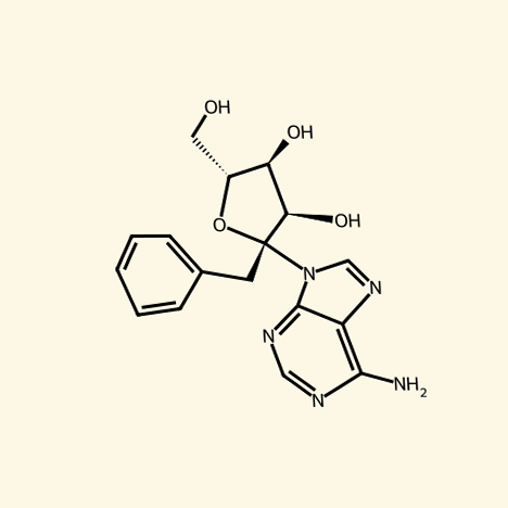 Nc1ncnc2c1ncn2[C@]1(Cc2ccccc2)O[C@H](CO)[C@@H](O)[C@H]1O